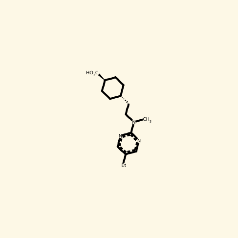 CCc1cnc(N(C)CC[C@H]2CC[C@H](C(=O)O)CC2)nc1